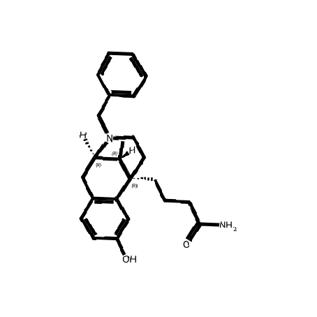 C[C@H]1[C@H]2Cc3ccc(O)cc3[C@]1(CCCC(N)=O)CCN2Cc1ccccc1